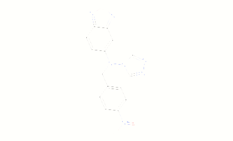 O=[N+]([O-])c1ccc(CN(c2ccc3nonc3c2)n2cnnc2)cc1